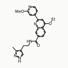 CCOc1cc(-c2ccnc(OC)c2)nc2cc(C(=O)NCCc3c[nH]nc3C)ccc12